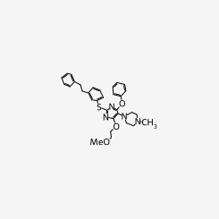 COCCOc1nc(Sc2cccc(CCc3ccccc3)c2)nc(Oc2ccccc2)c1N1CCN(C)CC1